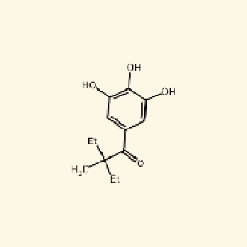 CCC(C)(CC)C(=O)c1cc(O)c(O)c(O)c1